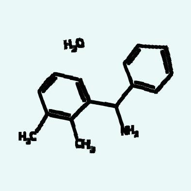 Cc1cccc(C(N)c2ccccc2)c1C.O